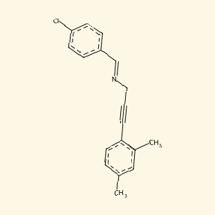 Cc1ccc(C#CC/N=C/c2ccc(Cl)cc2)c(C)c1